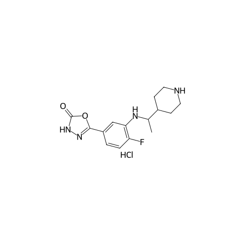 CC(Nc1cc(-c2n[nH]c(=O)o2)ccc1F)C1CCNCC1.Cl